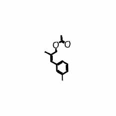 CC(=O)OCC(C)=Cc1cccc(C)c1